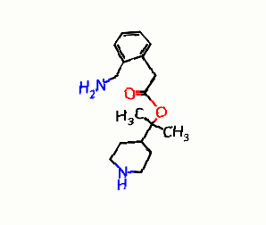 CC(C)(OC(=O)Cc1ccccc1CN)C1CCNCC1